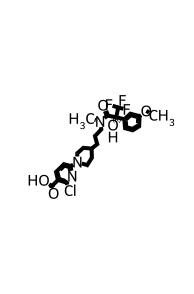 COc1cccc([C@@](O)(C(=O)N(C)CCCC2CCN(c3ccc(C(=O)O)c(Cl)n3)CC2)C(F)(F)F)c1